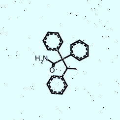 CC(c1ccccc1)C(C(N)=O)(c1ccccc1)c1ccccc1